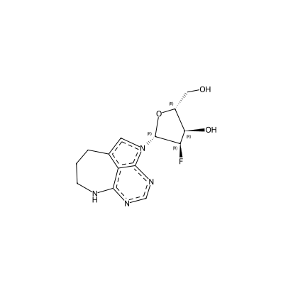 OC[C@H]1O[C@@H](n2cc3c4c(ncnc42)NCCC3)[C@H](F)[C@@H]1O